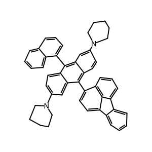 c1ccc2c(c1)-c1cccc3c(-c4c5ccc(N6CCCCC6)cc5c(-c5cccc6ccccc56)c5ccc(N6CCCCC6)cc45)ccc-2c13